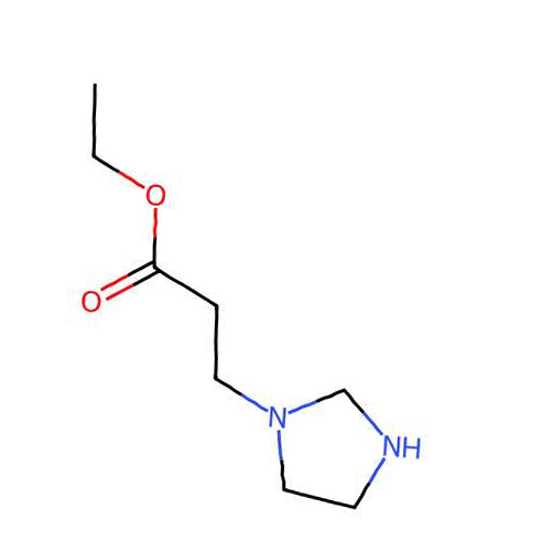 CCOC(=O)CCN1CCNC1